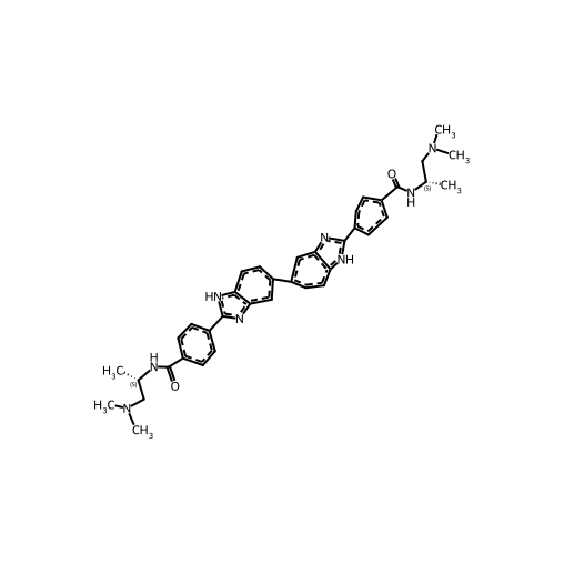 C[C@@H](CN(C)C)NC(=O)c1ccc(-c2nc3cc(-c4ccc5[nH]c(-c6ccc(C(=O)N[C@@H](C)CN(C)C)cc6)nc5c4)ccc3[nH]2)cc1